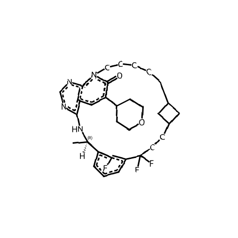 C[C@H]1Nc2ncnc3c2cc(C2CCOCC2)c(=O)n3CCCCCC2CC(CCC(F)(F)c3cccc1c3F)C2